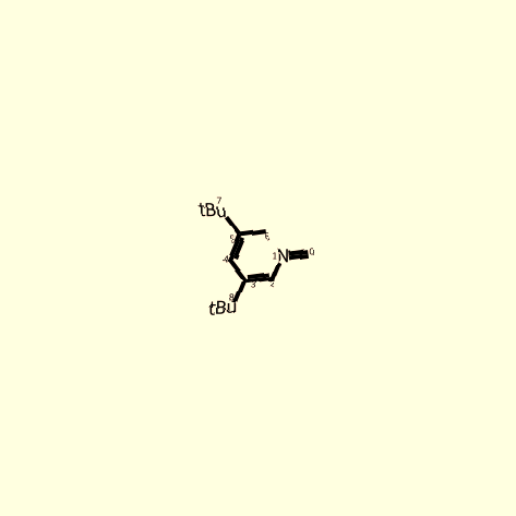 C=N/C=C(\C=C(/C)C(C)(C)C)C(C)(C)C